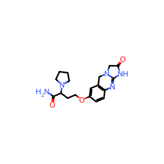 NC(=O)C(CCOc1ccc2c(c1)CN1CC(=O)NC1=N2)N1CCCC1